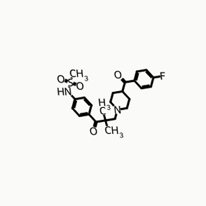 CC(C)(CN1CCC(C(=O)c2ccc(F)cc2)CC1)C(=O)c1ccc(NS(C)(=O)=O)cc1